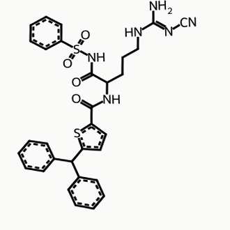 N#CN=C(N)NCCCC(NC(=O)c1ccc(C(c2ccccc2)c2ccccc2)s1)C(=O)NS(=O)(=O)c1ccccc1